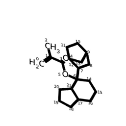 C=C(C)C(=O)OC1(C2CC3CCC2C3)CCCC2CCCC21